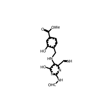 COC(=O)c1ccc(CNc2c(O)nc(NC=O)nc2C=N)c(O)c1